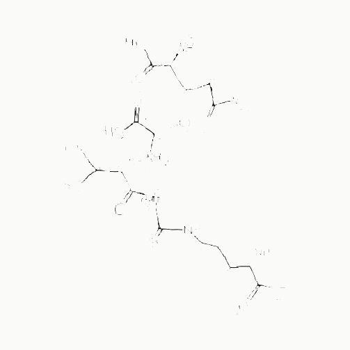 CC(C)[C@H](N)C(=O)O.C[C@H](N)C(=O)O.N=C(N)NCCC[C@H](N)C(=O)O.NC(=O)CC[C@H](N)C(=O)O